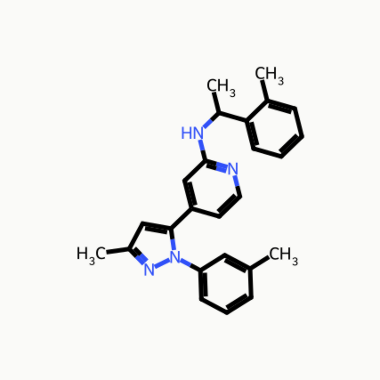 Cc1cccc(-n2nc(C)cc2-c2ccnc(NC(C)c3ccccc3C)c2)c1